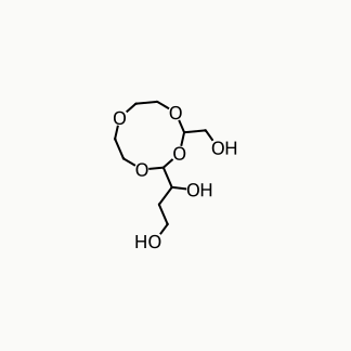 OCCC(O)C1OCCOCCOC(CO)O1